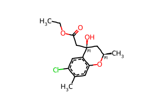 CCOC(=O)C[C@]1(O)C[C@@H](C)Oc2cc(C)c(Cl)cc21